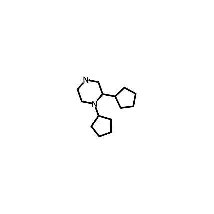 C1CCC(C2C[N]CCN2C2CCCC2)C1